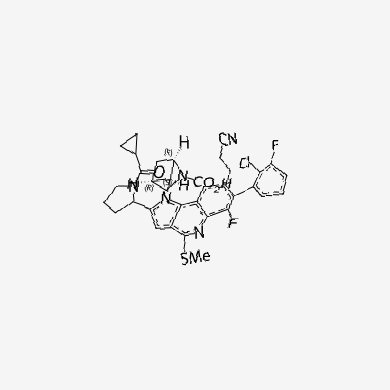 CSc1nc2c(F)c(-c3cccc(F)c3Cl)c(CCC#N)cc2c2c1cc(C1CCCN1C(=O)C1CC1)n2[C@H]1[C@@H]2C[C@H]1N(C(=O)O)C2